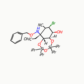 CC(C)[Si]1(C(C)C)O[C@@H]2[C@H](O)[C@H](Br)C(C#N)[C@@](CC=O)(NOCc3ccccc3)[C@H]2O[Si](C(C)C)(C(C)C)O1